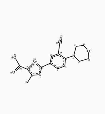 Cc1nc(-c2ccc(N3CCOCC3)c(C#N)c2)[se]c1C(=O)O